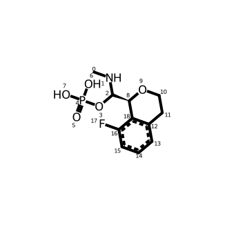 CNC(OP(=O)(O)O)[C@H]1OCCc2cccc(F)c21